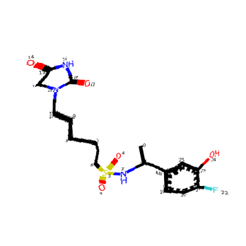 CC(NS(=O)(=O)CCCCCN1CC(=O)NC1=O)c1ccc(F)c(O)c1